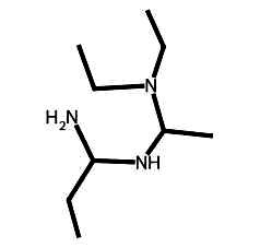 CCC(N)NC(C)N(CC)CC